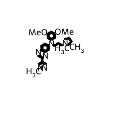 COc1cc(OC)cc(N(CCCN2CCCC2(C)C)c2ccc3ncc(-c4cnn(C)c4)nc3c2)c1